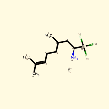 CC(C)=CCCC(C)C[C@H](N)[B-](F)(F)F.[K+]